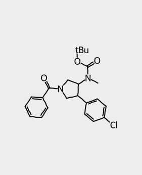 CN(C(=O)OC(C)(C)C)C1CN(C(=O)c2ccccc2)CC1c1ccc(Cl)cc1